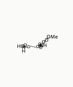 COCCOCCOCCNS(=O)(=O)c1ccc(CCCCc2ccc(CC(=O)NO)cc2)cc1